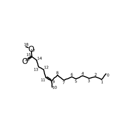 CCCCCCCCC/C(C)=C\CCCC(=O)OC